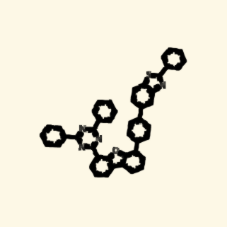 c1ccc(-c2nc(-c3ccccc3)nc(-c3cccc4c3oc3c(-c5ccc(-c6ccc7sc(-c8ccccc8)nc7c6)cc5)cccc34)n2)cc1